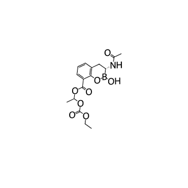 CCOC(=O)OC(C)OC(=O)c1cccc2c1OB(O)[C@@H](NC(C)=O)C2